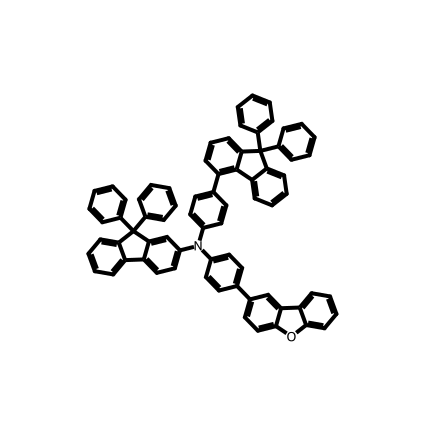 c1ccc(C2(c3ccccc3)c3ccccc3-c3ccc(N(c4ccc(-c5ccc6oc7ccccc7c6c5)cc4)c4ccc(-c5cccc6c5-c5ccccc5C6(c5ccccc5)c5ccccc5)cc4)cc32)cc1